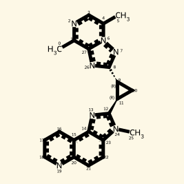 Cc1ncc(C)n2nc([C@@H]3C[C@H]3c3nc4c5cccnc5ccc4n3C)nc12